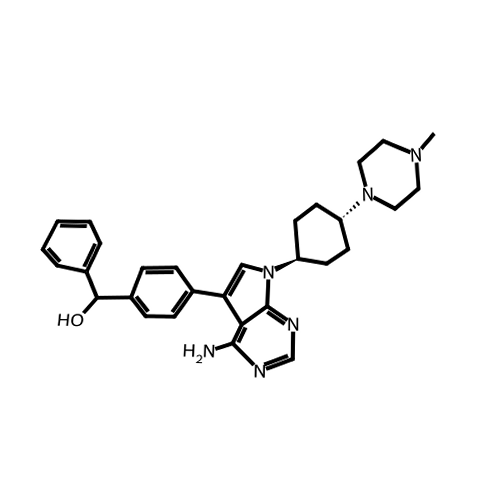 CN1CCN([C@H]2CC[C@H](n3cc(-c4ccc(C(O)c5ccccc5)cc4)c4c(N)ncnc43)CC2)CC1